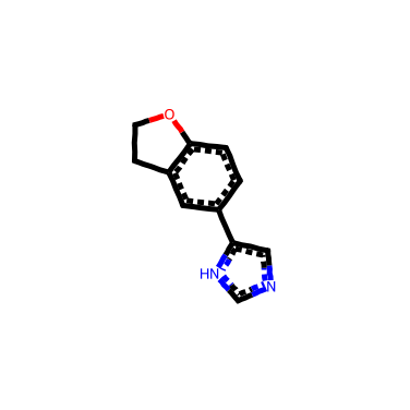 c1ncc(-c2ccc3c(c2)CCO3)[nH]1